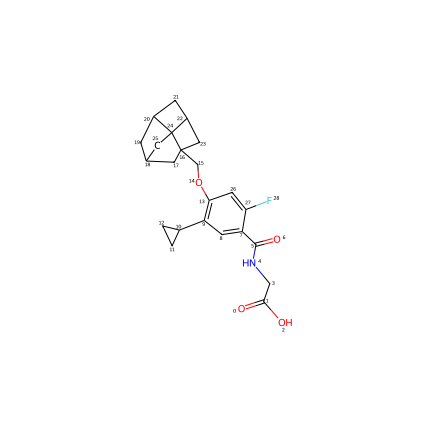 O=C(O)CNC(=O)c1cc(C2CC2)c(OCC23CC4CC5CC(C2)C53C4)cc1F